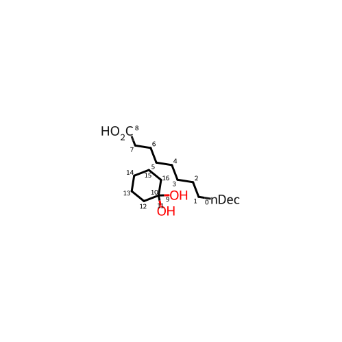 CCCCCCCCCCCCCCCCCC(=O)O.OC1(O)CCCCC1